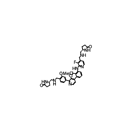 COc1cc(-c2nccc(-c3cccc(Nc4nccc(CNC[C@H]5CCC(=O)N5)c4F)c3Cl)c2Cl)ccc1CNC[C@H]1CCC(=O)N1